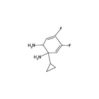 NC1C=C(F)C(F)=CC1(N)C1CC1